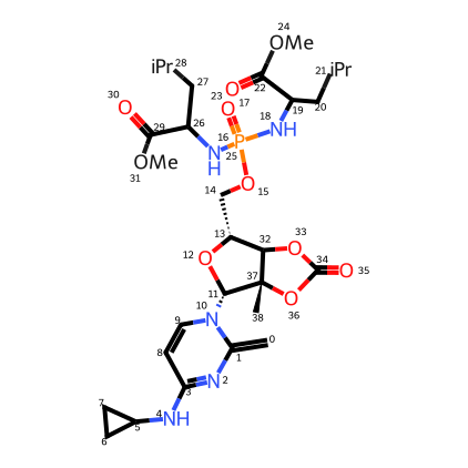 C=C1N=C(NC2CC2)C=CN1[C@@H]1O[C@H](COP(=O)(NC(CC(C)C)C(=O)OC)NC(CC(C)C)C(=O)OC)C2OC(=O)O[C@@]21C